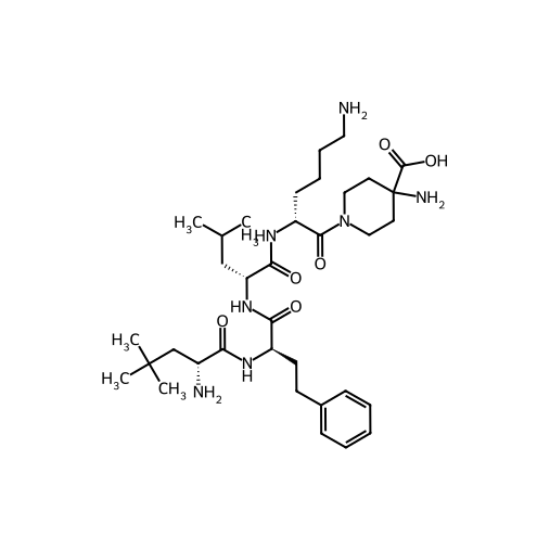 CC(C)C[C@@H](NC(=O)[C@@H](CCc1ccccc1)NC(=O)[C@H](N)CC(C)(C)C)C(=O)N[C@H](CCCCN)C(=O)N1CCC(N)(C(=O)O)CC1